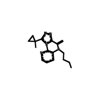 C=C1c2nnc(C3(C)CC3)n2-c2ncccc2N1CCCC